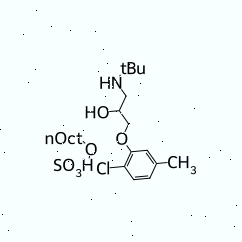 CCCCCCCCOS(=O)(=O)O.Cc1ccc(Cl)c(OCC(O)CNC(C)(C)C)c1